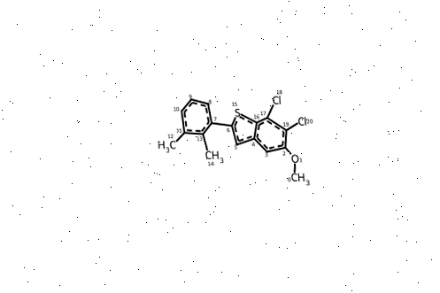 COc1cc2cc(-c3cccc(C)c3C)sc2c(Cl)c1Cl